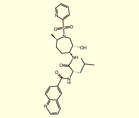 CC(C)C[C@H](NC(=O)c1ccc2ncccc2c1)C(=O)N[C@H]1CC[C@@H](C)N(S(=O)(=O)c2ccccn2)C[C@@H]1O